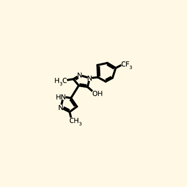 Cc1cc(-c2c(C)nn(-c3ccc(C(F)(F)F)cc3)c2O)[nH]n1